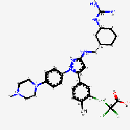 CN1CCN(c2ccc(-n3nc(NC[C@H]4CCC[C@H](NC(=N)N)C4)cc3-c3ccc(C#N)c(F)c3)cc2)CC1.O=C(O)C(F)(F)F